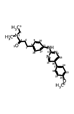 CCN(C)C(=O)CCc1ccc(Nc2ncc(-c3ccc(OC)cc3)cn2)cc1